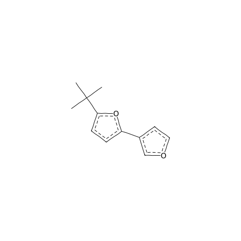 CC(C)(C)c1ccc(-c2ccoc2)o1